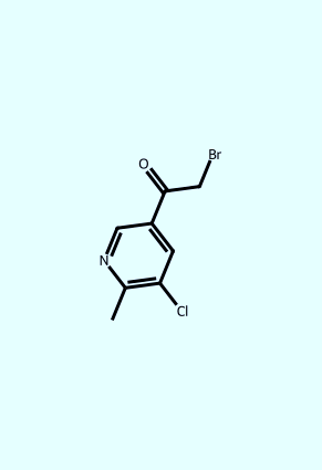 Cc1ncc(C(=O)CBr)cc1Cl